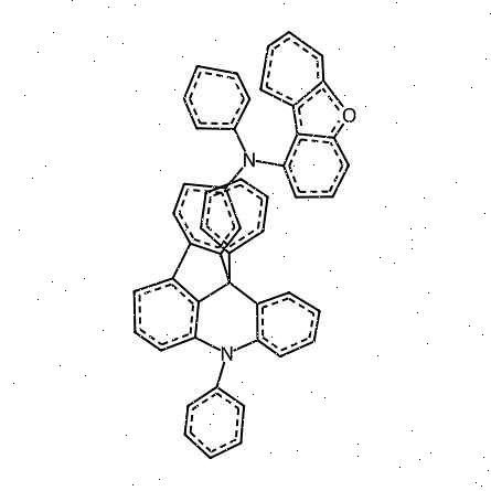 c1ccc(N2c3ccccc3C3(c4ccccc4)c4cc(N(c5ccccc5)c5cccc6oc7ccccc7c56)ccc4-c4cccc2c43)cc1